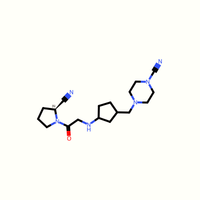 N#C[C@@H]1CCCN1C(=O)CNC1CCC(CN2CCN(C#N)CC2)C1